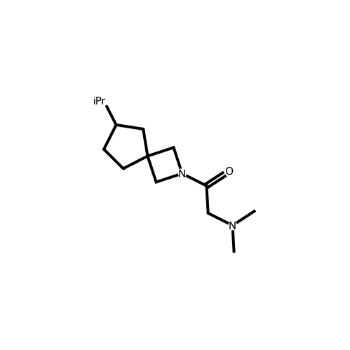 CC(C)C1CCC2(C1)CN(C(=O)CN(C)C)C2